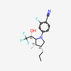 CCC[C@H]1CN(c2ccc(C#N)c(F)c2)C([C@@H](O)C(F)(F)F)[C@H]1C